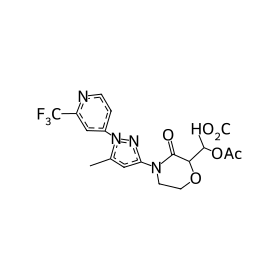 CC(=O)OC(C(=O)O)C1OCCN(c2cc(C)n(-c3ccnc(C(F)(F)F)c3)n2)C1=O